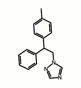 Cc1ccc(C(Cn2cncn2)c2ccccc2)cc1